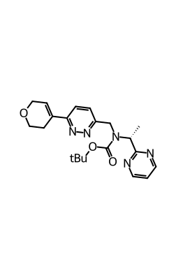 C[C@H](c1ncccn1)N(Cc1ccc(C2=CCOCC2)nn1)C(=O)OC(C)(C)C